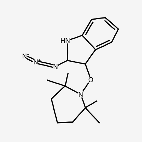 CC1(C)CCCC(C)(C)N1OC1c2ccccc2NC1N=[N+]=[N-]